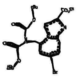 CCOC(=O)c1cn2c(N(C(=O)OC(C)(C)C)C(=O)OC(C)(C)C)cc(Br)cc2n1